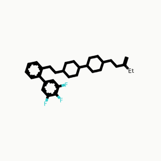 C=C(CC)CCC1CCC(C2CCC(CCc3ccccc3-c3cc(F)c(F)c(F)c3)CC2)CC1